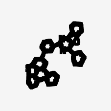 c1ccc(-c2nc(-c3cccc(-c4cc5sc6cccc7c8ccccc8c(c4)c5c67)c3)nc3c2oc2ccccc23)cc1